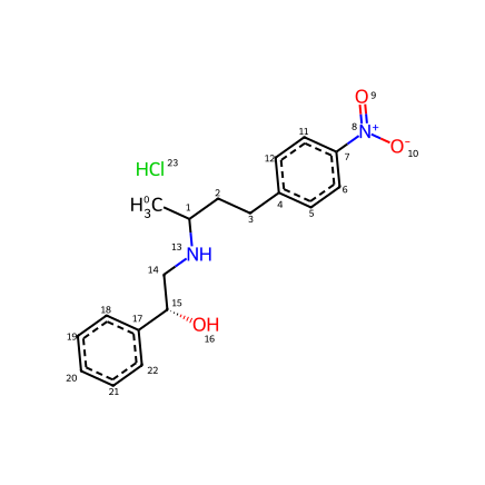 CC(CCc1ccc([N+](=O)[O-])cc1)NC[C@H](O)c1ccccc1.Cl